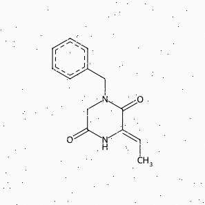 CC=C1NC(=O)CN(Cc2ccccc2)C1=O